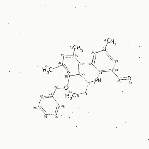 CCC(Pc1ccc(C)cc1C=O)c1cc(C)cc(C)c1OCc1ccccc1